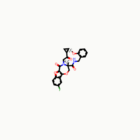 COc1ccccc1CNC(=O)C1(C)COc2c(oc3ccc(F)cc23)C(=O)N1CC(=O)C1CC1